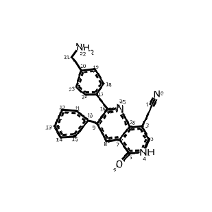 N#Cc1c[nH]c(=O)c2cc(-c3ccccc3)c(-c3ccc(CN)cc3)nc12